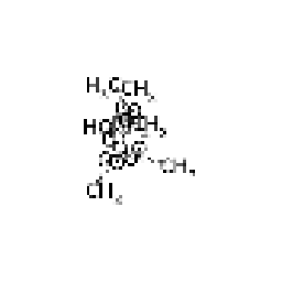 CCCCCC(=O)Oc1ccc(C(CC(C)OC(=O)OCCC(C)C)[C@H](N)C(=O)O)cc1OC(=O)CCCCC